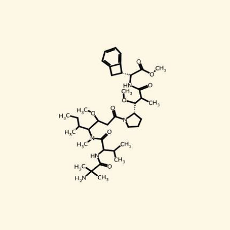 CCC(C)C(C(CC(=O)N1CCC[C@H]1C(OC)C(C)C(=O)NC(C(=O)OC)[C@@H]1Cc2ccccc21)OC)N(C)C(=O)C(NC(=O)C(C)(C)N)C(C)C